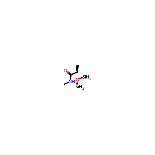 C=CC(=O)NC.[SiH3]O[SiH3]